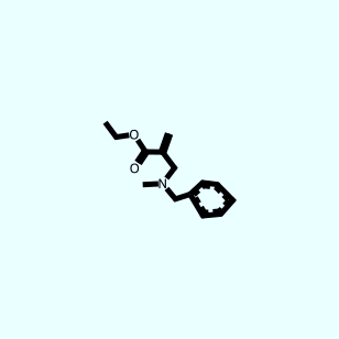 C=C(CN(C)Cc1ccccc1)C(=O)OCC